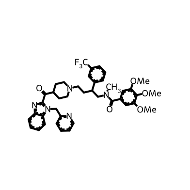 COc1cc(C(=O)N(C)CC(CCN2CCC(C(=O)c3nc4ccccc4n3Cc3ccccn3)CC2)c2cccc(C(F)(F)F)c2)cc(OC)c1OC